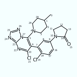 CC1CCN(c2c(-c3cc(N4CCCC4=O)ccc3Cl)c(Cl)nc3ncnn23)CC1